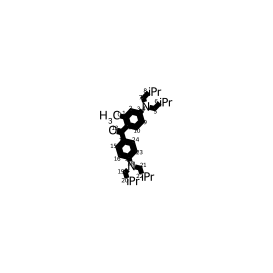 Cc1cc(N(CC(C)C)CC(C)C)ccc1C(=O)c1ccc(N(CC(C)C)CC(C)C)cc1